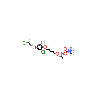 CCN(CC)C(=O)ON=C(C)COCCCCCOc1c(Cl)cc(OCC=C(Cl)Cl)cc1Cl